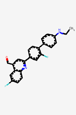 CCNc1ccc(-c2ccc(-c3cc(C=O)c4cc(F)ccc4n3)cc2F)cc1